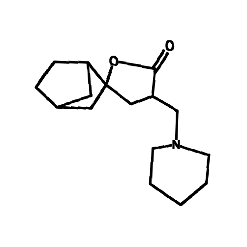 O=C1OC2(CC3CCC2C3)CC1CN1CCCCC1